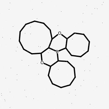 C1CCCCC2OC3CCCCCCC3B3C4CCCCCCCC4OC(CCC1)C32